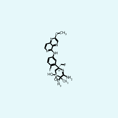 COc1cnc2c(Nc3ccc(F)c([C@]4(CF)CS(O)(O)C(C)(C)C(N)=N4)c3)nccc2n1